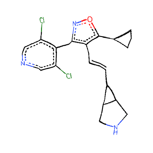 Clc1cncc(Cl)c1-c1noc(C2CC2)c1/C=C/C1C2CNCC12